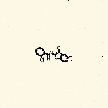 Cc1ccc2c(c1)C(=O)/C(=N/Nc1ccccc1Cl)S2